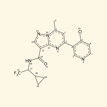 Cc1cc(-c2cnccc2Cl)nc2c(C(=O)NC(C3CC3)C(F)(F)F)cnn12